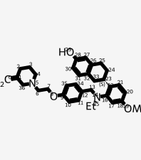 C=C1CCCN(CCOc2ccc(CN(CC)c3cc(OC)ccc3[C@H]3CCc4cc(O)ccc4C3)cc2)C1